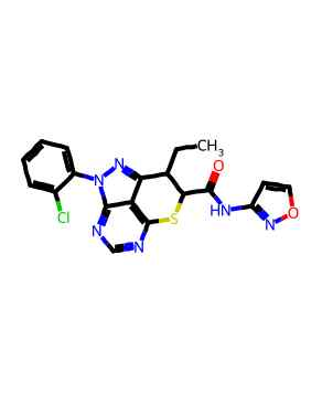 CCC1c2nn(-c3ccccc3Cl)c3ncnc(c23)SC1C(=O)Nc1ccon1